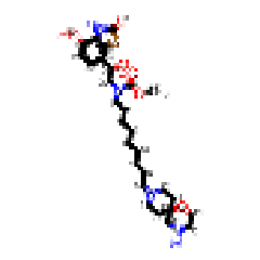 CC(C)(C)OC(=O)N(CCCCCCCCCN1CCC2(CC1)CNCCO2)CC(O)c1ccc(O)c2[nH]c(=O)sc12